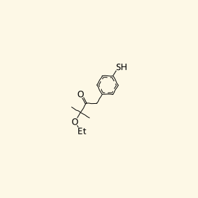 CCOC(C)(C)C(=O)Cc1ccc(S)cc1